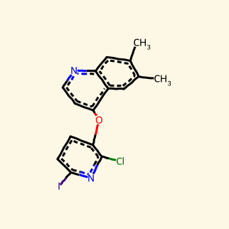 Cc1cc2nccc(Oc3ccc(I)nc3Cl)c2cc1C